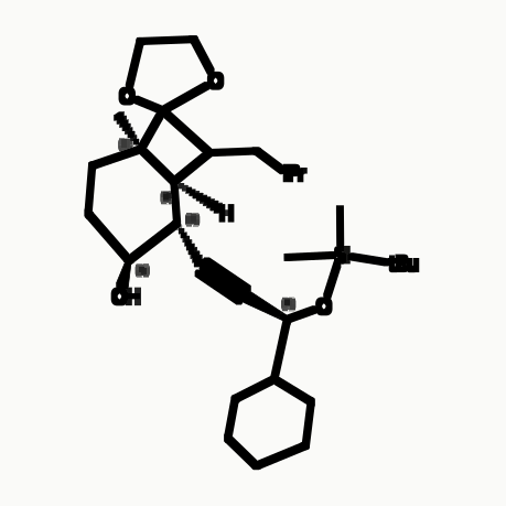 CC(C)CC1[C@H]2[C@H](C#C[C@@H](O[Si](C)(C)C(C)(C)C)C3CCCCC3)[C@@H](O)CC[C@@]2(C)C12OCCO2